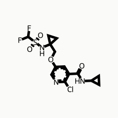 O=C(NC1CC1)c1cc(OCC2(NS(=O)(=O)C(F)F)CC2)cnc1Cl